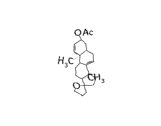 CC(=O)OC1C=C[C@@]2(C)C(CC=C3C2CC[C@@]2(C)C3CCC23CCCO3)C1